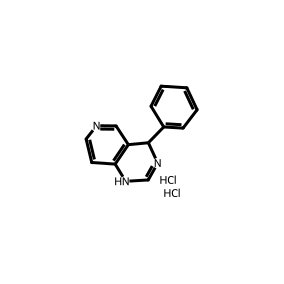 C1=NC(c2ccccc2)c2cnccc2N1.Cl.Cl